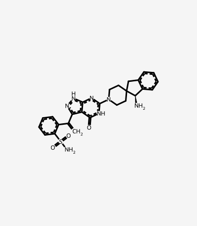 C=C(c1ccccc1S(N)(=O)=O)c1n[nH]c2nc(N3CCC4(CC3)Cc3ccccc3[C@H]4N)[nH]c(=O)c12